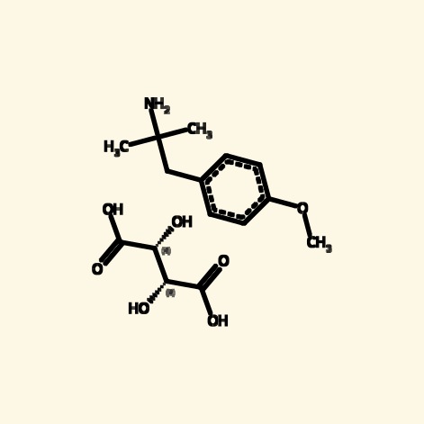 COc1ccc(CC(C)(C)N)cc1.O=C(O)[C@H](O)[C@@H](O)C(=O)O